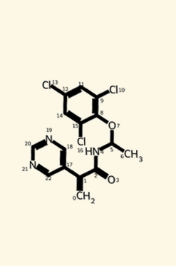 C=C(C(=O)NC(C)Oc1c(Cl)cc(Cl)cc1Cl)c1cncnc1